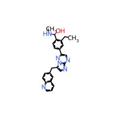 CCc1cc(-c2cnc3ncc(Cc4ccc5ncccc5c4)n3n2)ccc1[C@H](O)NC